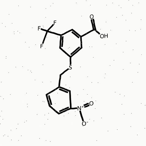 O=C(O)c1cc(SCc2cccc([N+](=O)[O-])c2)cc(C(F)(F)F)c1